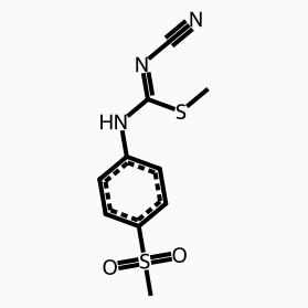 CS/C(=N\C#N)Nc1ccc(S(C)(=O)=O)cc1